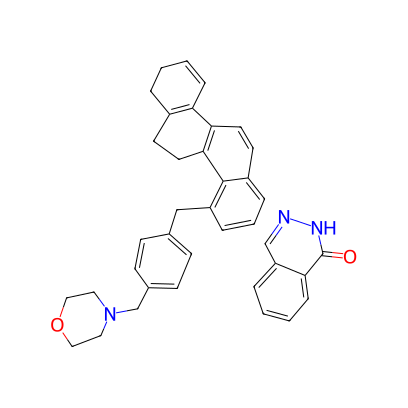 C1=CC2=C(CC1)CCc1c2ccc2cccc(Cc3ccc(CN4CCOCC4)cc3)c12.O=c1[nH]ncc2ccccc12